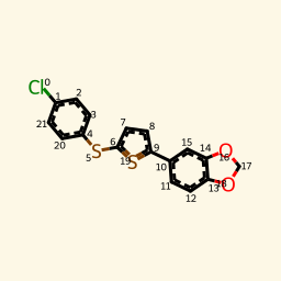 Clc1ccc(Sc2ccc(-c3ccc4c(c3)OCO4)s2)cc1